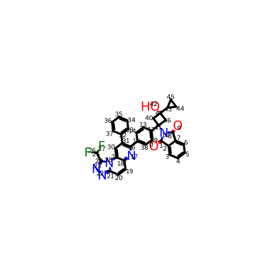 O=C1c2ccccc2C(=O)N1[C@]1(c2ccc(-c3nc4ccc5nnc(C(F)F)n5c4cc3-c3ccccc3)cc2)C[C@@](O)(C2CC2)C1